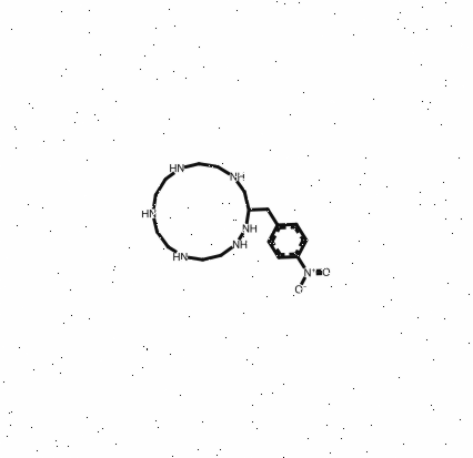 O=[N+]([O-])c1ccc(CC2CNCCNCCNCCNCCNN2)cc1